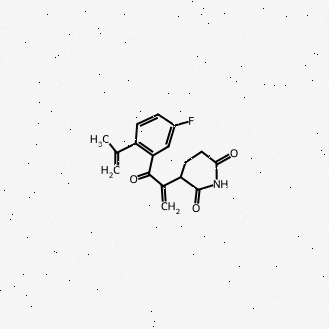 C=C(C)c1ccc(F)cc1C(=O)C(=C)C1CCC(=O)NC1=O